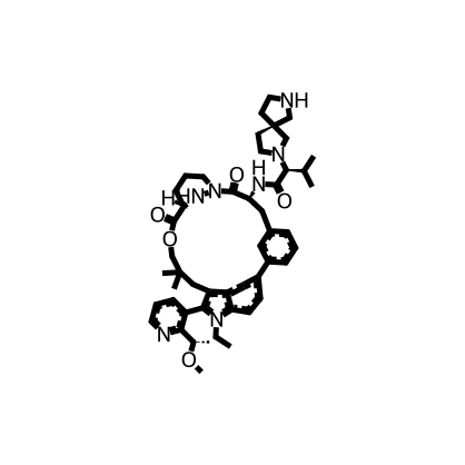 CCn1c(-c2cccnc2[C@H](C)OC)c2c3cc(ccc31)-c1cccc(c1)C[C@H](NC(=O)[C@H](C(C)C)N1CC[C@]3(CCNC3)C1)C(=O)N1CCC[C@H](N1)C(=O)OCC(C)(C)C2